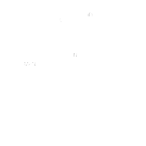 C=CC(CNC)C1C(CCC(=C)/C=C\C)c2ccccc2-c2cc(C(C)C)c([Si](C)(C)C)c[n+]21